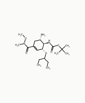 CCC(CC)O[C@@H]1C=C(C(=O)N(C)OC)C[C@H](N)[C@H]1NC(=O)OC(C)(C)C